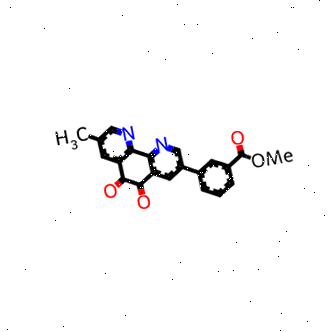 COC(=O)c1cccc(-c2cnc3c(c2)C(=O)C(=O)c2cc(C)cnc2-3)c1